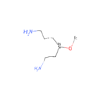 CCO[SiH](CCN)CCCN